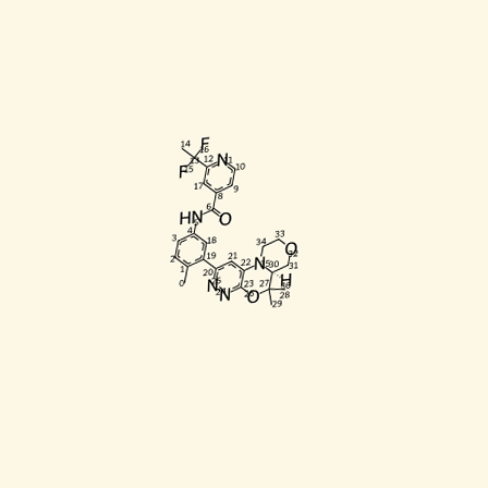 Cc1ccc(NC(=O)c2ccnc(C(C)(F)F)c2)cc1-c1cc2c(nn1)OC(C)(C)[C@@H]1COCCN21